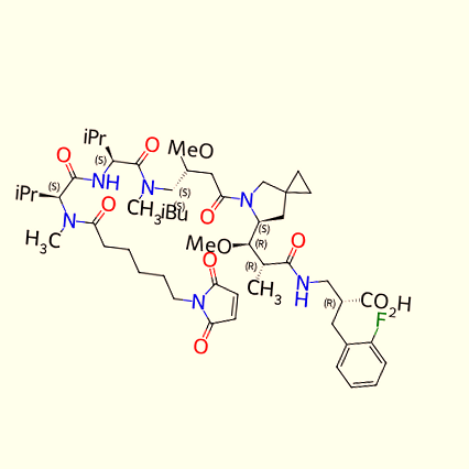 CC[C@H](C)[C@@H](C(CC(=O)N1CC2(CC2)C[C@H]1[C@H](OC)[C@@H](C)C(=O)NC[C@@H](Cc1ccccc1F)C(=O)O)OC)N(C)C(=O)[C@@H](NC(=O)[C@H](C(C)C)N(C)C(=O)CCCCCN1C(=O)C=CC1=O)C(C)C